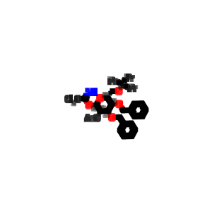 CC(=O)O[C@@H]1[C@@H](OC(=N)C(Cl)(Cl)Cl)O[C@H](CO[Si](C(C)C)(C(C)C)C(C)C)[C@@H](OCc2ccccc2)[C@@H]1OCc1ccccc1